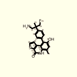 Cc1cc(O)c(-c2ccc(C(C)(CN)CF)cc2)c2c1[nH]c(=O)c1sccc12